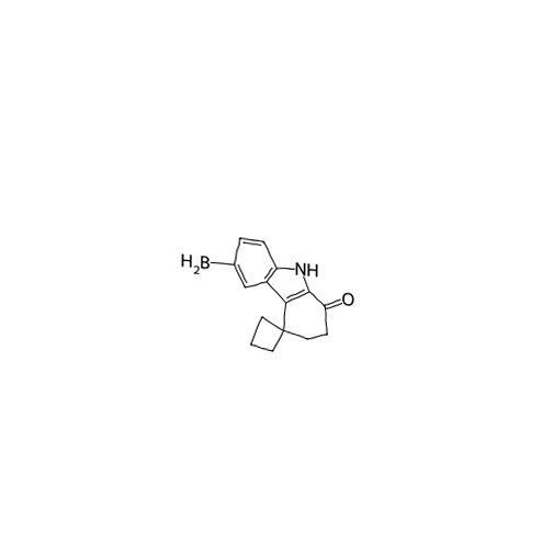 Bc1ccc2[nH]c3c(c2c1)C1(CCC1)CCC3=O